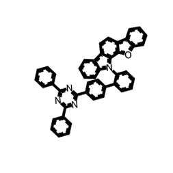 c1ccc(-c2nc(-c3ccccc3)nc(-c3ccc(-c4ccccc4-n4c5ccccc5c5ccc6c7ccccc7oc6c54)cc3)n2)cc1